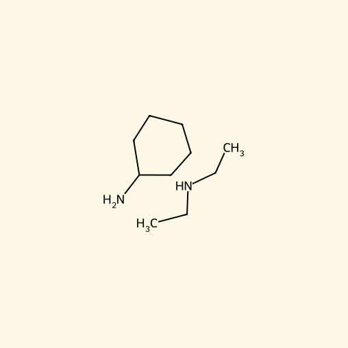 CCNCC.NC1CCCCC1